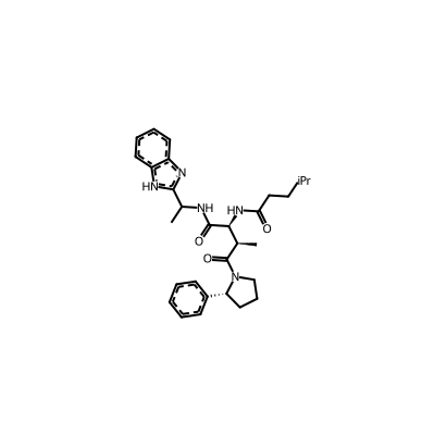 CC(C)CCC(=O)N[C@H](C(=O)NC(C)c1nc2ccccc2[nH]1)[C@@H](C)C(=O)N1CCC[C@@H]1c1ccccc1